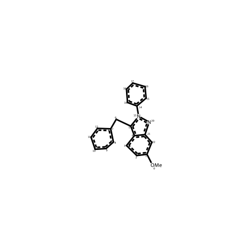 COc1ccc2c(Cc3ccccc3)n(-c3ccccc3)nc2c1